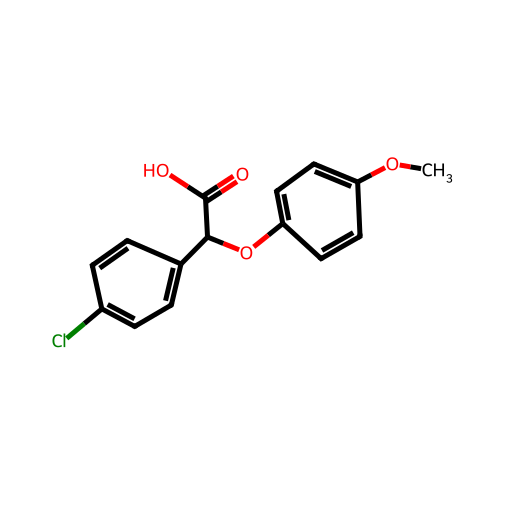 COc1ccc(OC(C(=O)O)c2ccc(Cl)cc2)cc1